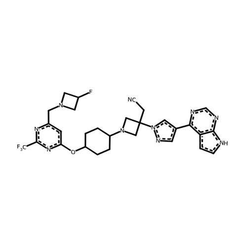 N#CCC1(n2cc(-c3ncnc4[nH]ccc34)cn2)CN(C2CCC(Oc3cc(CN4CC(F)C4)nc(C(F)(F)F)n3)CC2)C1